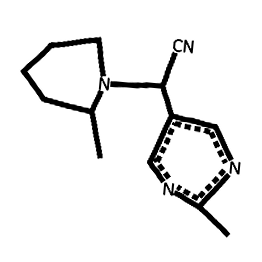 Cc1ncc(C(C#N)N2CCCCC2C)cn1